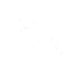 Cc1c(C(=O)N(C)C)oc2ccc(S(=O)(=O)N3CCCCC3)cc12